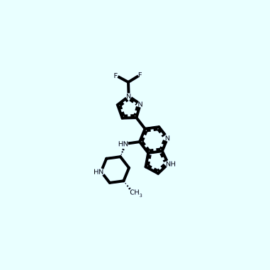 C[C@@H]1CNC[C@H](Nc2c(-c3ccn(C(F)F)n3)cnc3[nH]ccc23)C1